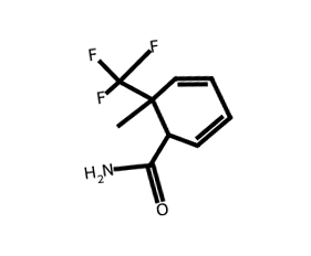 CC1(C(F)(F)F)C=CC=CC1C(N)=O